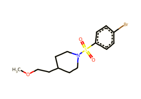 COCCC1CCN(S(=O)(=O)c2ccc(Br)cc2)CC1